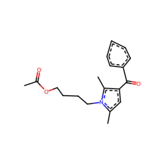 CC(=O)OCCCCn1c(C)cc(C(=O)c2ccccc2)c1C